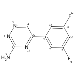 Nc1nncc(-c2cc(F)cc(F)c2)n1